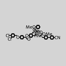 COC(=O)[C@H](Cc1ccc(-c2ccc(C#N)cc2)cc1)NC(=O)[C@@H]1Cc2cc3c(cc2CN1S(=O)(=O)c1ccccc1OC)OC(c1ccc(OCc2ccc(Cl)c(Cl)c2)cc1)CO3